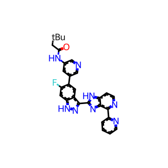 CC(C)(C)CC(=O)Nc1cncc(-c2cc3c(-c4nc5c(-c6ccccn6)nccc5[nH]4)n[nH]c3cc2F)c1